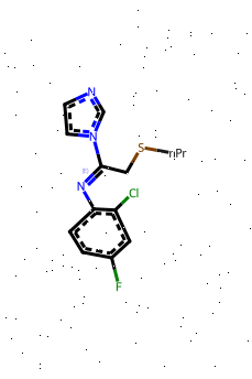 CCCSC/C(=N\c1ccc(F)cc1Cl)n1ccnc1